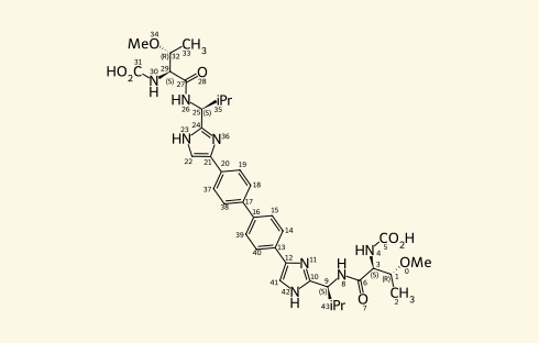 CO[C@H](C)[C@H](NC(=O)O)C(=O)N[C@H](c1nc(-c2ccc(-c3ccc(-c4c[nH]c([C@@H](NC(=O)[C@@H](NC(=O)O)[C@@H](C)OC)C(C)C)n4)cc3)cc2)c[nH]1)C(C)C